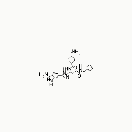 NCC1CCC(C(=O)N[C@@H](CCC(=O)NCc2ccccc2)c2ncc(-c3ccc4c(N)n[nH]c4c3)[nH]2)CC1